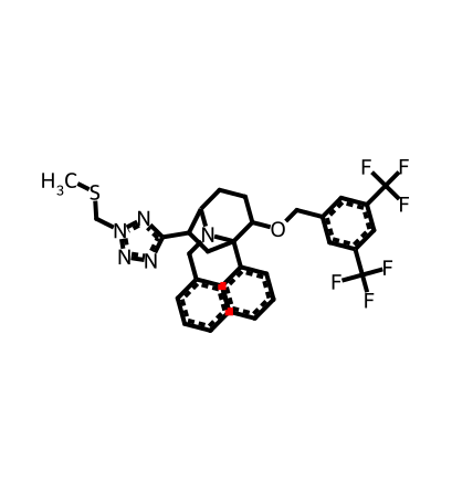 CSCn1nnc(C2CC3(c4ccccc4)C(OCc4cc(C(F)(F)F)cc(C(F)(F)F)c4)CCC2N3Cc2ccccc2)n1